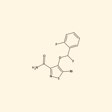 NC(=O)c1nsc(Br)c1OC(F)c1ccccc1F